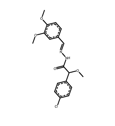 COc1ccc(/C=N/NC(=O)C(OC)c2ccc(Cl)cc2)cc1OC